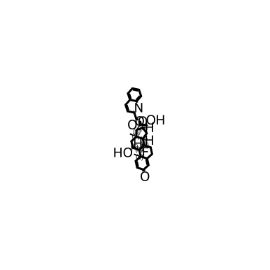 C[C@]12C=CC(=O)C=C1CC[C@H]1[C@@H]3C[C@H]4OC(c5ccc6ccccc6n5)O[C@@]4(C(=O)CO)[C@@]3(C)C[C@H](O)[C@@]12F